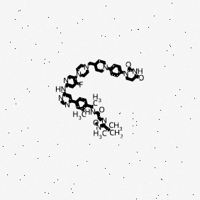 Cc1cc(-c2cc(Nc3cc(F)c(N4CCN(CC5CCN(c6ccc(N7CCC(=O)NC7=O)cc6)CC5)CC4)cn3)ncn2)ccc1[C@@H](C)NC(=O)c1nc(C(C)(C)C)no1